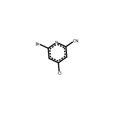 N#Cc1cc(Cl)cc(Br)n1